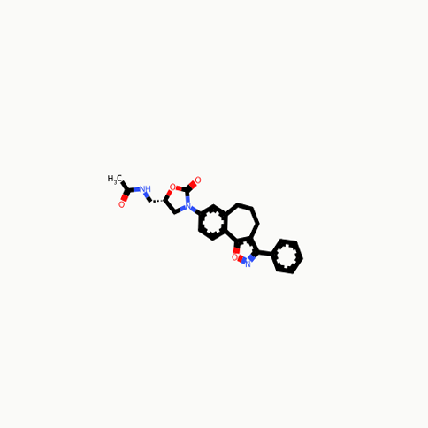 CC(=O)NC[C@H]1CN(c2ccc3c(c2)CCCc2c(-c4ccccc4)noc2-3)C(=O)O1